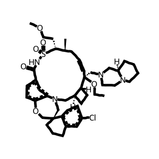 CCO[C@]1(CN2CCN3CCCC[C@@H]3C2)/C=C/C[C@H](C)[C@@H](CCOC)S(=O)(=O)NC(=O)c2ccc3c(c2)N(C[C@@H]2CC[C@H]21)C[C@@]1(CCCc2cc(Cl)ccc21)CO3